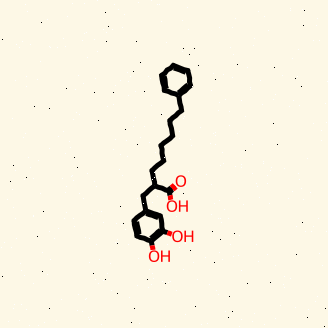 O=C(O)C(CCCCCCc1ccccc1)Cc1ccc(O)c(O)c1